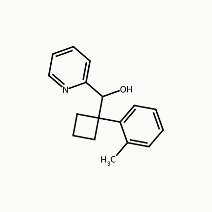 Cc1ccccc1C1(C(O)c2ccccn2)CCC1